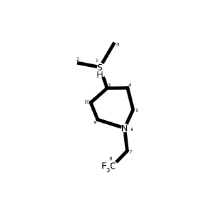 C[SH](C)C1CCN(CC(F)(F)F)CC1